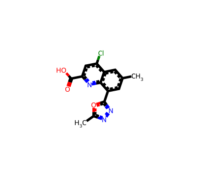 Cc1cc(-c2nnc(C)o2)c2nc(C(=O)O)cc(Cl)c2c1